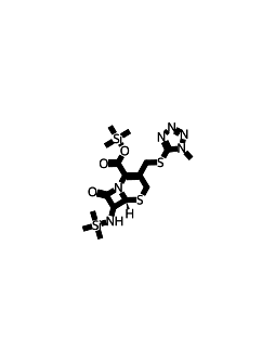 Cn1nnnc1SCC1=C(C(=O)O[Si](C)(C)C)N2C(=O)C(N[Si](C)(C)C)[C@@H]2SC1